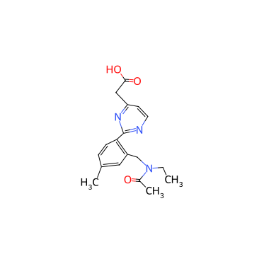 CCN(Cc1cc(C)ccc1-c1nccc(CC(=O)O)n1)C(C)=O